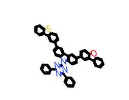 c1ccc(-c2nc(-c3ccccc3)nc(-n3c4ccc(-c5ccc6oc7ccccc7c6c5)cc4c4cc(-c5ccc6sc7ccccc7c6c5)ccc43)n2)cc1